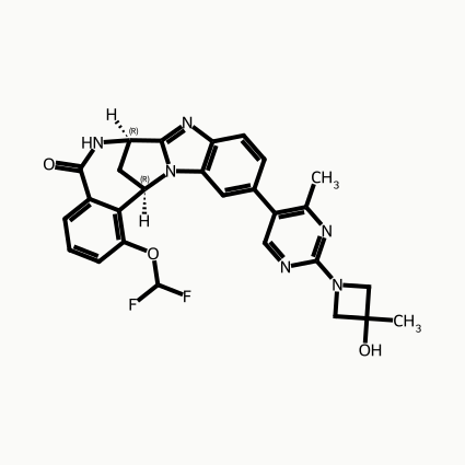 Cc1nc(N2CC(C)(O)C2)ncc1-c1ccc2nc3n(c2c1)[C@@H]1C[C@H]3NC(=O)c2cccc(OC(F)F)c21